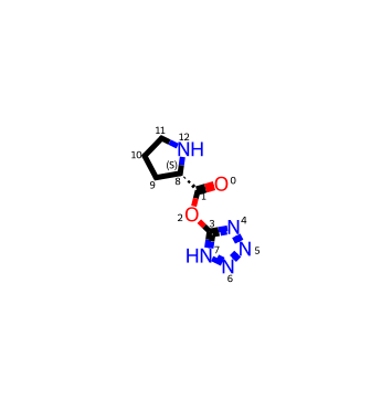 O=C(Oc1nnn[nH]1)[C@@H]1CCCN1